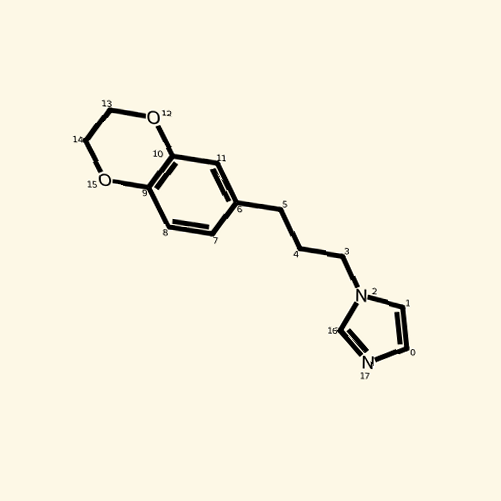 c1cn(CCCc2ccc3c(c2)OCCO3)cn1